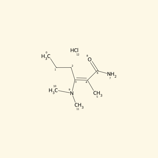 CCC/C(=C(/C)C(N)=O)N(C)C.Cl